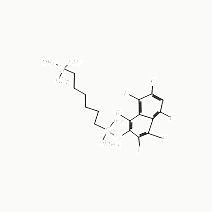 CCCCCC[Si](CCCCCC[Si](CCC)(CCC)CCC)(Oc1c(F)c(F)c2c(F)[c]c(F)c(F)c2c1F)C(C)C